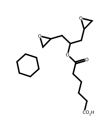 C1CCCCC1.O=C(O)CCCCC(=O)OC(CC1CO1)CC1CO1